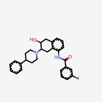 O=C(Nc1cccc2c1CC(N1CCC(c3ccccc3)CC1)C(O)C2)c1cccc(I)c1